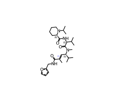 C/C(=C\[C@H](C(C)C)N(C)C(=O)[C@@H](NC(=O)[C@H]1CCCCN1C(C)C)C(C)C)C(=O)NCc1ccco1